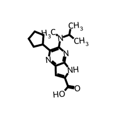 CC(C)N(C)c1nc2[nH]c(C(=O)O)cc2nc1C1CCCC1